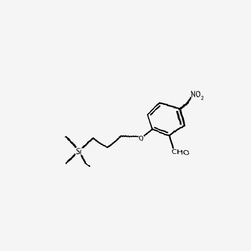 C[Si](C)(C)CCCOc1ccc([N+](=O)[O-])cc1C=O